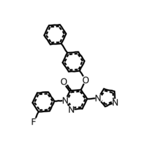 O=c1c(Oc2ccc(-c3ccccc3)cc2)c(-n2ccnc2)cnn1-c1cccc(F)c1